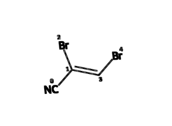 N#CC(Br)=CBr